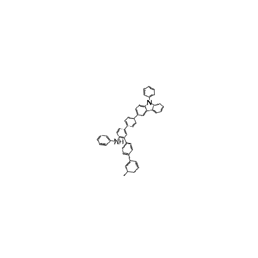 CC1C=C(c2ccc(-c3cc(-c4ccc(-c5ccc6c(c5)c5ccccc5n6-c5ccccc5)cc4)ccc3Nc3ccccc3)cc2)C=CC1